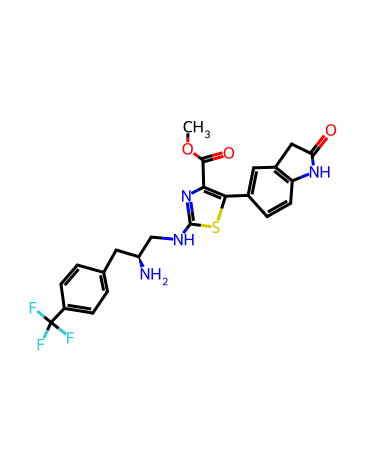 COC(=O)c1nc(NC[C@@H](N)Cc2ccc(C(F)(F)F)cc2)sc1-c1ccc2c(c1)CC(=O)N2